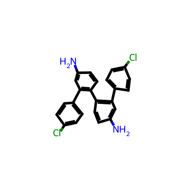 Nc1ccc(-c2ccc(N)cc2-c2ccc(Cl)cc2)c(-c2ccc(Cl)cc2)c1